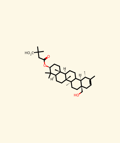 CC1=CC[C@]2(CO)CC[C@]3(C)C(CC[C@@H]4[C@@]5(C)CC[C@H](OC(=O)CC(C)(C)C(=O)O)C(C)(C)[C@@H]5CC[C@]43C)[C@H]2[C@@H]1C